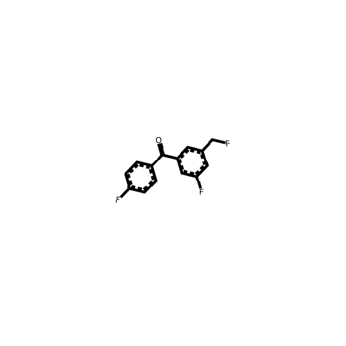 O=C(c1ccc(F)cc1)c1cc(F)cc(CF)c1